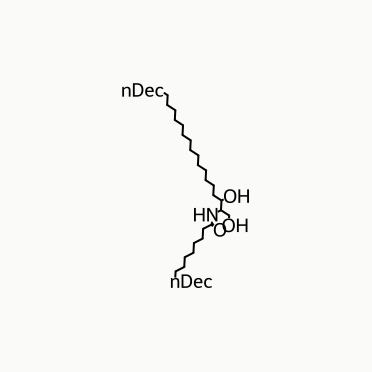 CCCCCCCCCCCCCCCCCCCCCCCCC(O)C(CO)NC(=O)CCCCCCCCCCCCCCCCC